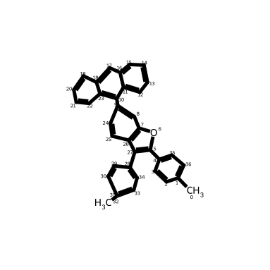 Cc1ccc(-c2oc3cc(-c4c5ccccc5cc5ccccc45)ccc3c2-c2ccc(C)cc2)cc1